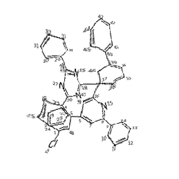 Clc1cccc(-c2cc(-c3ccccc3)nc(C3(c4nc(-c5ccccc5)nc(-c5ccccc5)n4)C=CC=C(c4ccccc4)C3)c2)c1